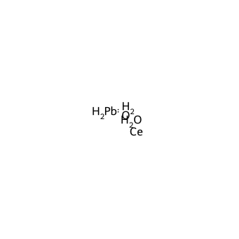 O.O.[Ce].[PbH2]